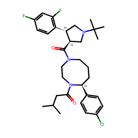 CC(C)CC(=O)N1CCN(C(=O)[C@@H]2CN(C(C)(C)C)C[C@H]2c2ccc(F)cc2F)CCC[C@H]1c1ccc(Cl)cc1